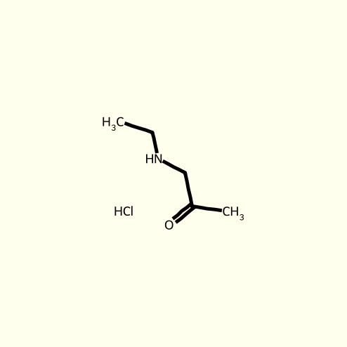 CCNCC(C)=O.Cl